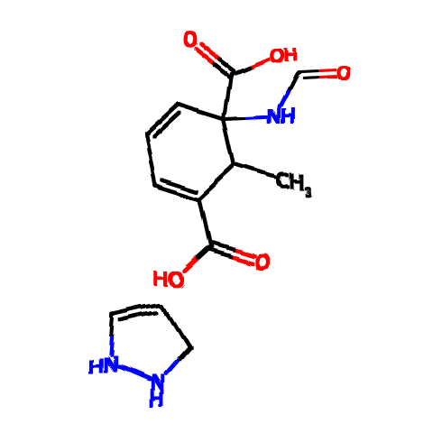 C1=CNNC1.CC1C(C(=O)O)=CC=CC1(NC=O)C(=O)O